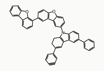 c1ccc(C2=Cc3c(n(-c4ccc5oc6ccc(-c7cccc8c7oc7ccccc78)cc6c5c4)c4ccc(-c5ccccc5)cc34)CC2)cc#1